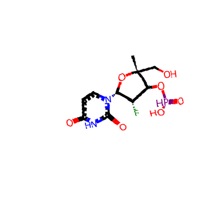 C[C@]1(CO)O[C@@H](n2ccc(=O)[nH]c2=O)[C@@H](F)C1O[PH](=O)O